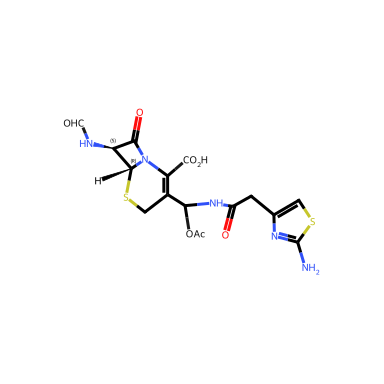 CC(=O)OC(NC(=O)Cc1csc(N)n1)C1=C(C(=O)O)N2C(=O)[C@H](NC=O)[C@H]2SC1